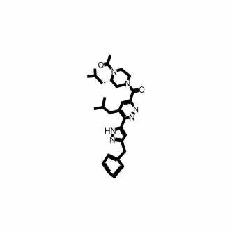 CC(=O)N1CCN(C(=O)c2cc(CC(C)C)c(-c3cc(Cc4ccccc4)n[nH]3)nn2)C[C@@H]1CC(C)C